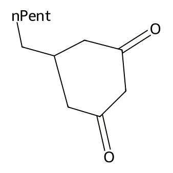 CCCCCCC1CC(=O)CC(=O)C1